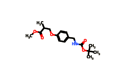 COC(=O)C(C)COc1ccc(CNC(=O)OC(C)(C)C)cc1